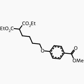 CCOC(=O)C(CCCCOc1ccc(C(=O)OC)cc1)C(=O)OCC